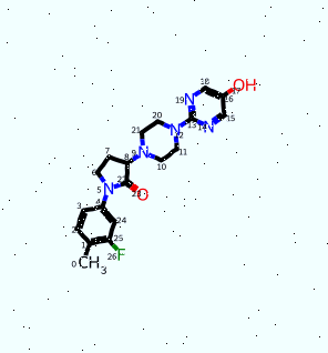 Cc1ccc(N2CCC(N3CCN(c4ncc(O)cn4)CC3)C2=O)cc1F